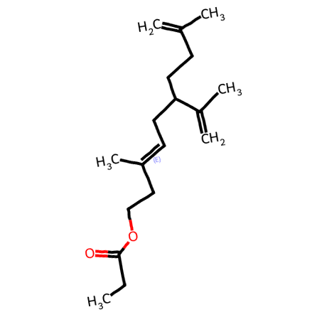 C=C(C)CCC(C/C=C(\C)CCOC(=O)CC)C(=C)C